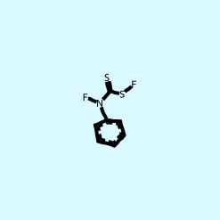 FSC(=S)N(F)c1ccccc1